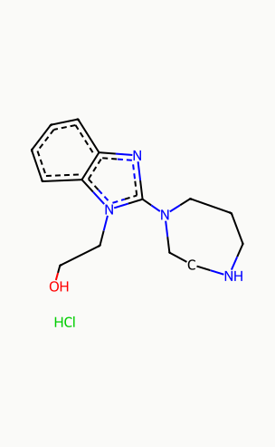 Cl.OCCn1c(N2CCCNCC2)nc2ccccc21